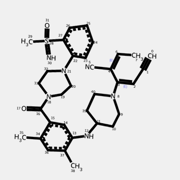 C#C/C=C(\C(C#N)=C/C)N1CCC(Nc2cc(C(=O)N3CCN(c4ccccc4S(C)(=N)=O)CC3)c(C)cc2C)CC1